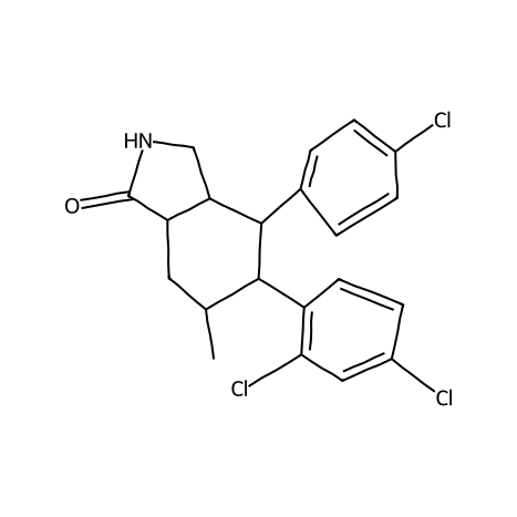 CC1CC2C(=O)NCC2C(c2ccc(Cl)cc2)C1c1ccc(Cl)cc1Cl